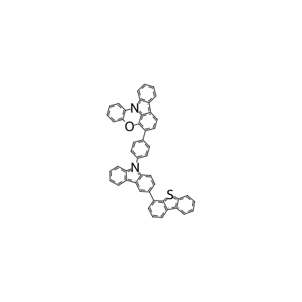 c1ccc2c(c1)Oc1c(-c3ccc(-n4c5ccccc5c5cc(-c6cccc7c6sc6ccccc67)ccc54)cc3)ccc3c4ccccc4n-2c13